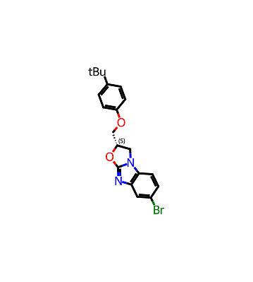 CC(C)(C)c1ccc(OC[C@@H]2Cn3c(nc4cc(Br)ccc43)O2)cc1